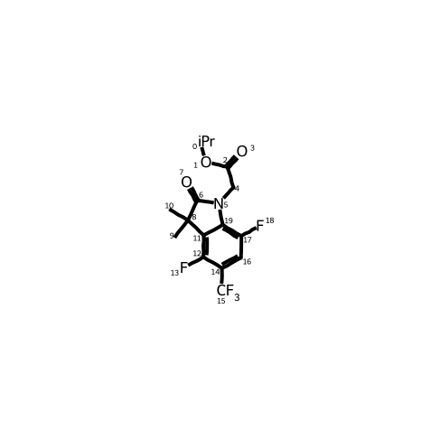 CC(C)OC(=O)CN1C(=O)C(C)(C)c2c(F)c(C(F)(F)F)cc(F)c21